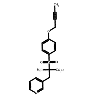 CC#CCOc1ccc(S(=O)(=O)C(C)(Cc2cccnc2)C(=O)O)cc1